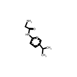 CC(C)c1ccc(NC(=O)CN)nc1